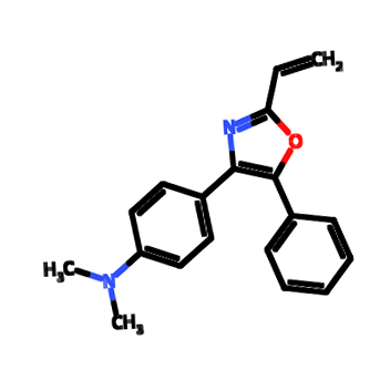 C=Cc1nc(-c2ccc(N(C)C)cc2)c(-c2ccccc2)o1